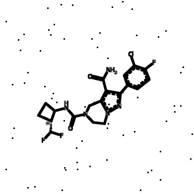 NC(=O)c1c(-c2ccc(F)c(Cl)c2)nn2c1CN(C(=O)NC1CC[C@H]1C(F)F)CC2